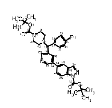 CC(C)(C)OC(=O)N1CCN(C(c2ccc(F)cc2)c2cncc(-c3ccc4c(cnn4C(=O)OC(C)(C)C)c3)c2)CC1